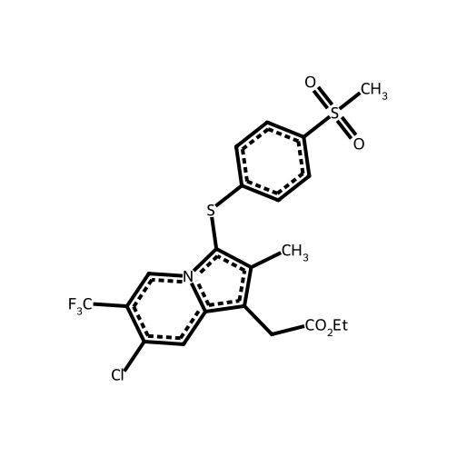 CCOC(=O)Cc1c(C)c(Sc2ccc(S(C)(=O)=O)cc2)n2cc(C(F)(F)F)c(Cl)cc12